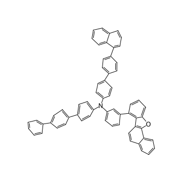 c1ccc(-c2ccc(-c3ccc(N(c4ccc(-c5ccc(-c6cccc7ccccc67)cc5)cc4)c4cccc(-c5cccc6oc7c8ccccc8ccc7c56)c4)cc3)cc2)cc1